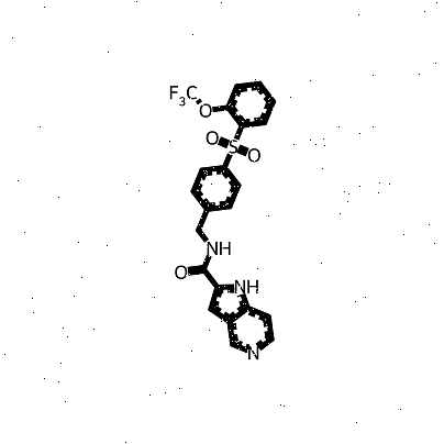 O=C(NCc1ccc(S(=O)(=O)c2ccccc2OC(F)(F)F)cc1)c1cc2cnccc2[nH]1